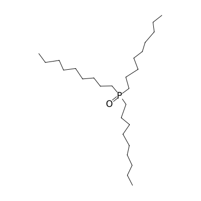 CCCCCCCCCP(=O)(CCCCCCCCC)CCCCCCCCC